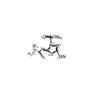 CSc1nn(C(=O)OCC(C)C)c(=NC(=O)N(C)C)s1